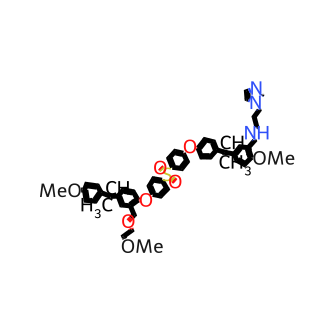 COCCOCc1cc(C(C)(C)c2ccc(OC)cc2)ccc1Oc1ccc(S(=O)(=O)c2ccc(Oc3ccc(C(C)(C)c4ccc(OC)c(CNCCCn5ccnc5)c4)cc3)cc2)cc1